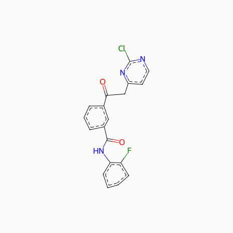 O=C(Cc1ccnc(Cl)n1)c1cccc(C(=O)Nc2ccccc2F)c1